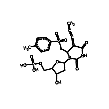 C=C=C=C1C(=O)NC(=O)N(C2CC(O)C(COP(=O)(O)O)O2)C1SS(=O)(=O)c1ccc(C)cc1